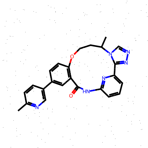 Cc1ccc(-c2ccc3c(c2)C(=O)Nc2cccc(n2)-c2nncn2C(C)CCO3)cn1